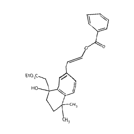 CCOC(=O)CC1(O)CCC(C)(C)c2ccc(C=COC(=O)c3ccccc3)cc21